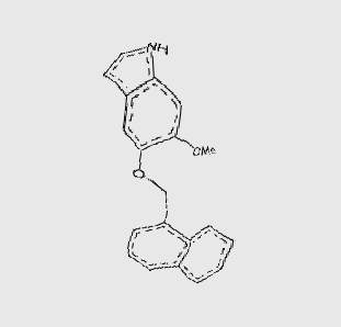 COc1cc2[nH]ccc2cc1OCc1cccc2ccccc12